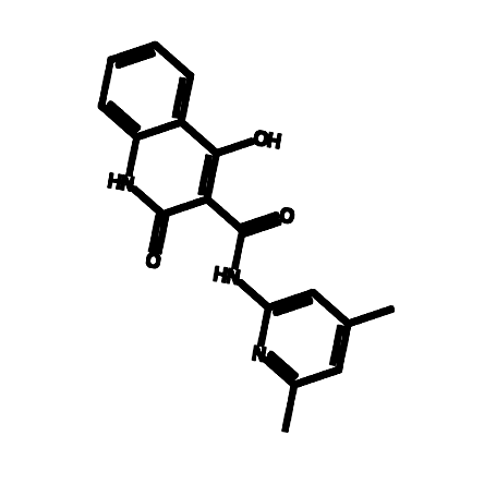 Cc1cc(C)nc(NC(=O)c2c(O)c3ccccc3[nH]c2=O)c1